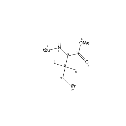 COC(=O)C(NC(C)(C)C)C(C)(C)CC(C)C